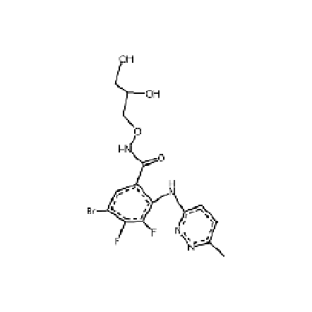 Cc1ccc(Nc2c(C(=O)NOCC(O)CO)cc(Br)c(F)c2F)nn1